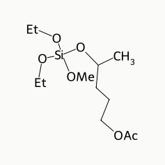 CCO[Si](OC)(OCC)OC(C)CCCOC(C)=O